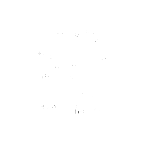 CCCCOCC1OC(OC2C(COCCCC)OC(OCCCC)C(NC(C)=O)C2OCCCC)C(O)C(OCCCC)C1OCCCC